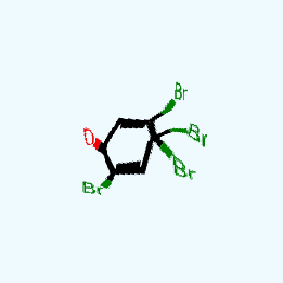 O=C1C=C(Br)C(Br)(Br)C=C1Br